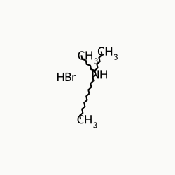 Br.CCCCCCCCCCCCCCNC(CCCCCC)CCCCCC